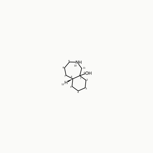 OC12CCCC[C@@H]1CCCNC2